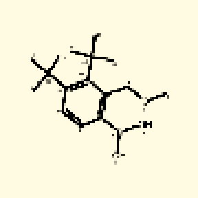 COCc1c(B(O)O)ccc(C(C)(C)C)c1C(C)(C)C